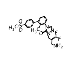 Cc1c(-c2ccc(S(C)(=O)=O)cc2)cccc1-n1cnn(CC(CN)=C(F)F)c1=O